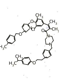 C/C(C(=O)N1CCN(Cc2ccc(CCOc3ccc(C(C)C)cc3)cc2)CC1)=C(\C)c1cc(C)c(Oc2ccc(OCc3ccc(C)cc3)cn2)c(Cl)c1